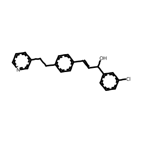 OC(/C=C/c1ccc(CCc2cccnc2)cc1)c1cccc(Cl)c1